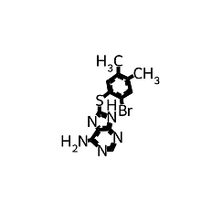 Cc1cc(Br)c(Sc2nc3c(N)ncnc3[nH]2)cc1C